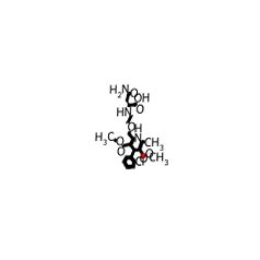 CCOC(=O)C1=C(COCCN[C@@H](CC(N)=O)C(=O)O)NC(C)=C(C(=O)OC)C1c1ccccc1Cl